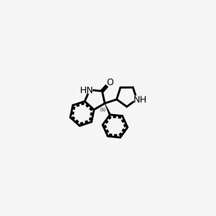 O=C1Nc2ccccc2[C@@]1(c1ccccc1)C1CCNC1